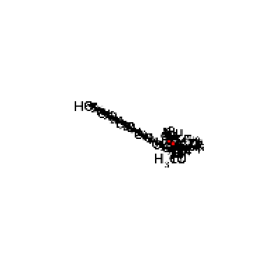 CN(CCOCCOCCOCCOCCOCCOCCOCCOCCCO)C(=O)N1N=C(c2cc(F)ccc2F)S[C@@]1(CCCNC(=O)OC(C)(C)C)c1ccccc1